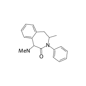 CNC1C(=O)N(c2ccccc2)C(C)Cc2ccccc21